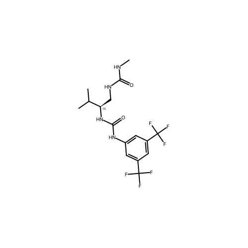 CNC(=O)NC[C@@H](NC(=O)Nc1cc(C(F)(F)F)cc(C(F)(F)F)c1)C(C)C